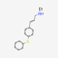 CCNCC=Cc1ccc(Sc2ccccc2)cc1